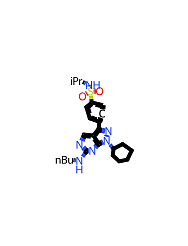 CCCCNc1ncc2c(-c3ccc(S(=O)(=O)NC(C)C)cc3)nn(C3CCCCC3)c2n1